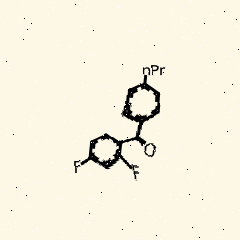 CCCc1ccc(C(=O)c2ccc(F)cc2F)cc1